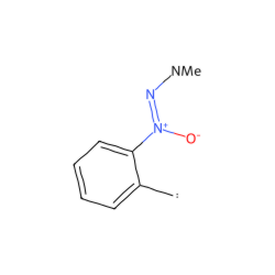 [CH]c1ccccc1[N+]([O-])=NNC